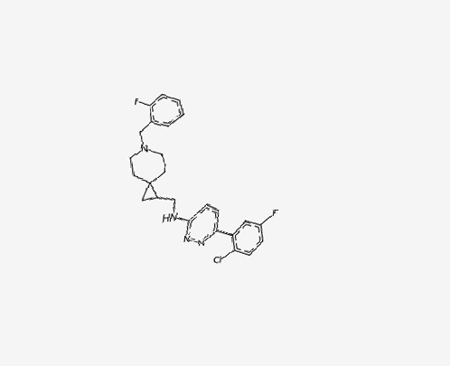 Fc1ccc(Cl)c(-c2ccc(NCC3CC34CCN(Cc3ccccc3F)CC4)nn2)c1